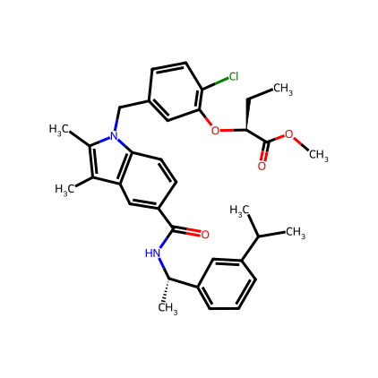 CC[C@H](Oc1cc(Cn2c(C)c(C)c3cc(C(=O)N[C@@H](C)c4cccc(C(C)C)c4)ccc32)ccc1Cl)C(=O)OC